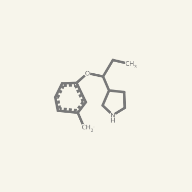 [CH2]c1cccc(OC(CC)C2CCNC2)c1